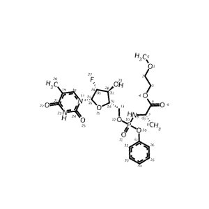 COCCOC(=O)[C@H](C)NP(=O)(OC[C@@H]1O[C@H](n2cc(C)c(=O)[nH]c2=O)[C@H](F)[C@H]1O)Oc1ccccc1